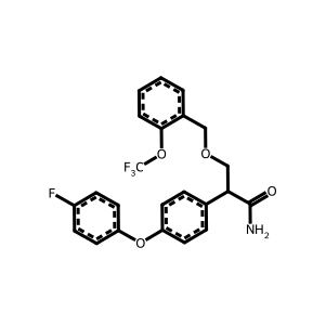 NC(=O)C(COCc1ccccc1OC(F)(F)F)c1ccc(Oc2ccc(F)cc2)cc1